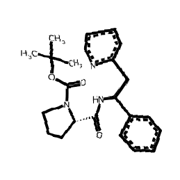 CC(C)(C)OC(=O)N1CCC[C@H]1C(=O)NC(Cc1ccccn1)c1ccccc1